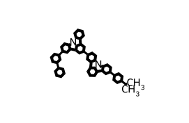 CC(C)c1ccc(-c2ccc3c(c2)c2cccc4c5cc(-c6cc7c8ccccc8n8c9ccc(-c%10cccc(-c%11ccccc%11)c%10)cc9c(c6)c78)ccc5n3c24)cc1